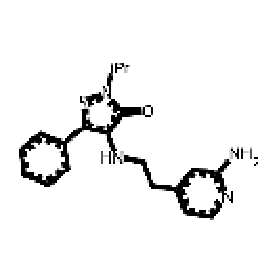 CC(C)n1sc(-c2ccccc2)c(NCCc2ccnc(N)c2)c1=O